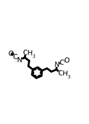 CC(CCc1cccc(CCC(C)N=C=O)c1)N=C=O